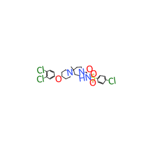 CC1(N2CCC(Oc3ccc(Cl)c(Cl)c3)CC2)CCN(C(=O)NS(=O)(=O)c2ccc(Cl)cc2)CC1